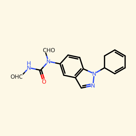 O=CNC(=O)N(C=O)c1ccc2c(cnn2C2C=CC=CC2)c1